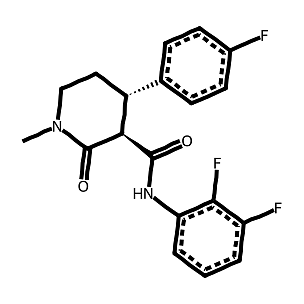 CN1CC[C@H](c2ccc(F)cc2)[C@@H](C(=O)Nc2cccc(F)c2F)C1=O